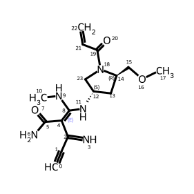 C#CC(=N)/C(C(N)=O)=C(/NC)N[C@H]1C[C@H](COC)N(C(=O)C=C)C1